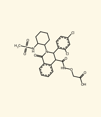 CS(=O)(=O)NC1CCCCC1N1C(=O)c2ccccc2C(C(=O)NOCC(=O)O)C1c1ccc(Cl)cc1Cl